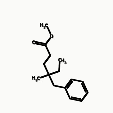 CCC(C)(CCC(=O)OC)Cc1ccccc1